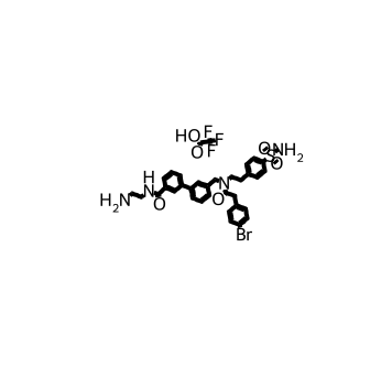 NCCNC(=O)c1cccc(-c2cccc(CN(CCc3ccc(S(N)(=O)=O)cc3)C(=O)Cc3ccc(Br)cc3)c2)c1.O=C(O)C(F)(F)F